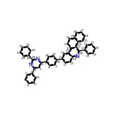 c1ccc(-c2cc(-c3ccc(-c4ccc5nc(-c6ccccc6)c6c7ccccc7ccc6c5c4)cc3)nc(-c3ccccc3)n2)cc1